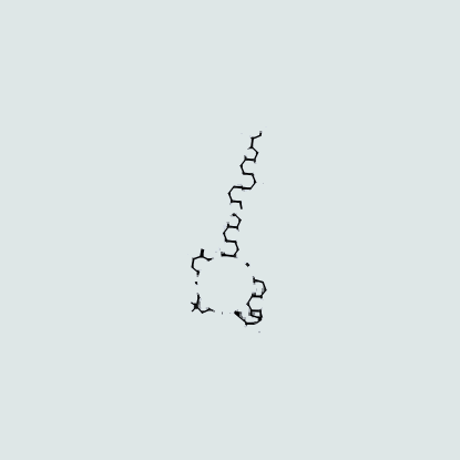 C=C1C2C[C@@H]3O[C@H]4C[C@H]5O[C@]6(CC7OC8(CCC7O6)C[C@H](C)C6OC7CC(C(O)CO)OC7CC6O8)CC5OC4CC3OC(=O)CC3CCC4OC5C6O[C@@]7(O)C5O[C@@](CCC5CC(C)(C)C(CCC(C[C@H]1C)O2)O5)(OC6[C@H]4O3)C7O